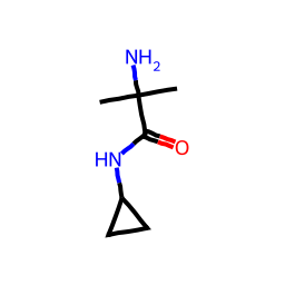 CC(C)(N)C(=O)NC1CC1